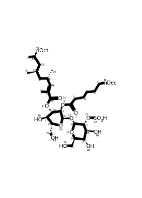 CCCCCCCCCCCCCCCC(=O)O[C@H]1[C@@H](O[C@H]2O[C@H](CO)[C@@H](O)[C@H](O)[C@H]2OS(=O)(=O)O)O[C@H](CO)[C@@H](O)[C@@H]1OC(=O)/C(C)=C/[C@@H](C)C[C@@H](C)C[C@@H](C)CCCCCCCC